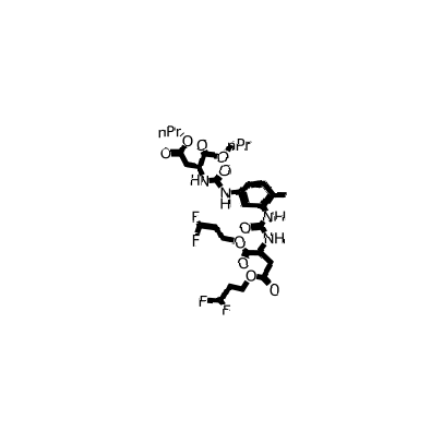 CCCOC(=O)CC(NC(=O)Nc1ccc(C)c(NC(=O)NC(CC(=O)OCCC(F)F)C(=O)OCCC(F)F)c1)C(=O)OCCC